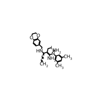 C=C=C=C(NCc1ccc2c(c1)OCCO2)/C(CI)=C(\N)N(N)c1cc(C)cc(C)c1